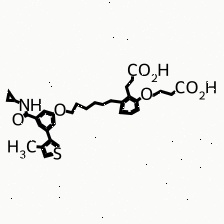 Cc1cscc1-c1cc(OCCCCCCc2cccc(OCCCC(=O)O)c2CCC(=O)O)cc(C(=O)NC2CC2)c1